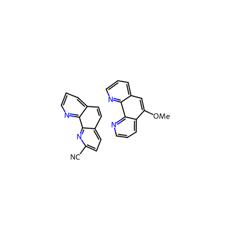 COc1cc2cccnc2c2ncccc12.N#Cc1ccc2ccc3cccnc3c2n1